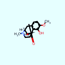 COc1ccc2c(c1O)C13CCN(C)[C@@H](C2)[C@H]1CCC(=O)C3